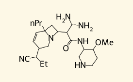 CCCC12C=CC(C(C#N)CC)CN1C(C(C(=O)NC1CNCCC1OC)C(N)N)C2